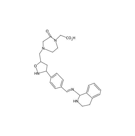 O=C(O)CN1CCN(CC2CC(c3ccc(C=NC4NCCc5ccccc54)cc3)NO2)CC1=O